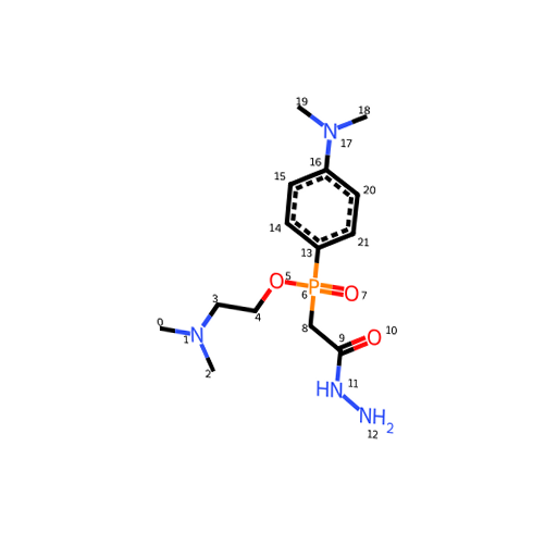 CN(C)CCOP(=O)(CC(=O)NN)c1ccc(N(C)C)cc1